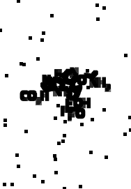 CC(N)COc1ncc(F)cc1C12CC1CCN2c1ccn2ncc(C(=O)O)c2n1.O=C(O)C(F)(F)F